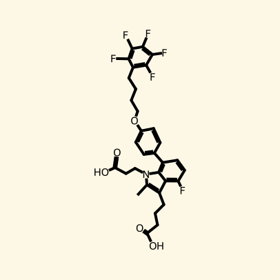 Cc1c(CCCC(=O)O)c2c(F)ccc(-c3ccc(OCCCCc4c(F)c(F)c(F)c(F)c4F)cc3)c2n1CCC(=O)O